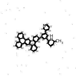 CC1C=CC=C(c2cc(-c3cccnc3)cc(-c3cccc(-c4ccccc4-c4ccc5c6ccccc6c6ccccc6c5c4)c3)c2)N1